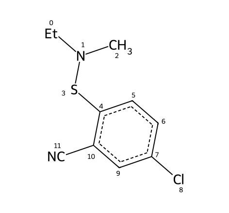 CCN(C)Sc1ccc(Cl)cc1C#N